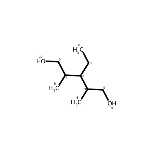 CCC(C(C)CO)C(C)CO